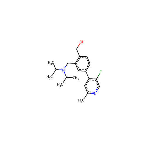 Cc1cc(-c2ccc(CO)c(CN(C(C)C)C(C)C)c2)c(F)cn1